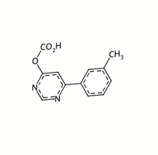 Cc1cccc(-c2cc(OC(=O)O)ncn2)c1